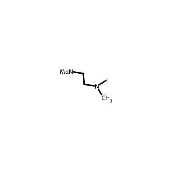 CNCCN(C)I